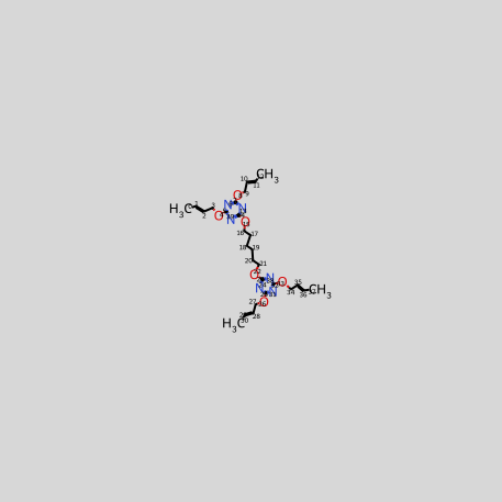 C/C=C/COc1nc(OC/C=C/C)nc(OCCCCCCOc2nc(OC/C=C/C)nc(OC/C=C/C)n2)n1